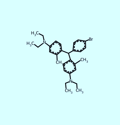 CCN(CC)c1ccc(C(c2ccc(Br)cc2)c2ccc(N(CC)CC)cc2C)c(C)c1